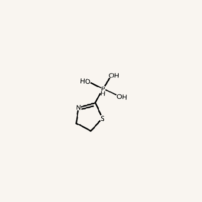 O[PH](O)(O)C1=NCCS1